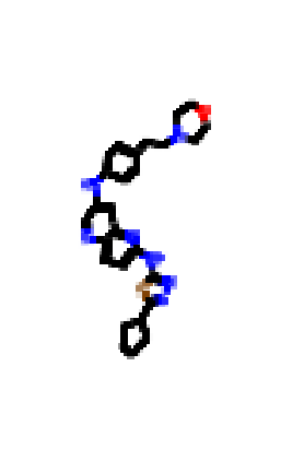 c1cc(Nc2cnc3ccc(Nc4nnc(C5CCCC5)s4)nc3c2)ccc1CCN1CCOCC1